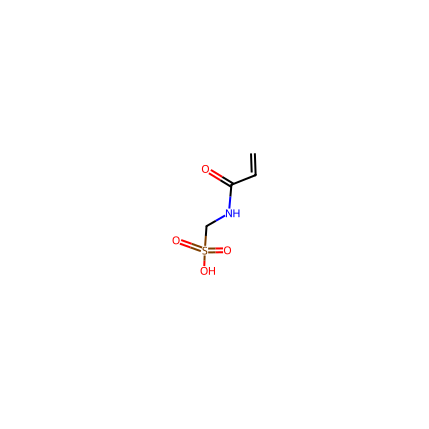 C=CC(=O)NCS(=O)(=O)O